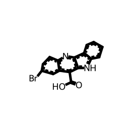 O=C(O)c1c2cc(Br)ccc2nc2c1[nH]c1ccccc12